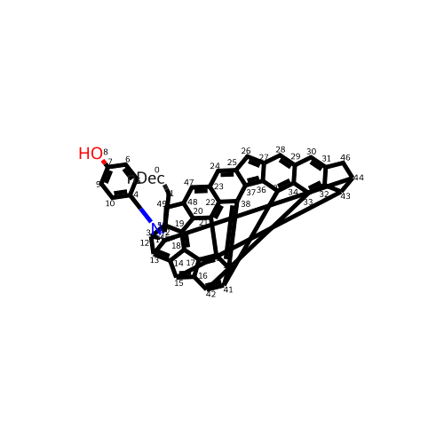 CCCCCCCCCCCC1N(c2ccc(O)cc2)CC2C3=c4c5c6c7c4=C4C8c9c%10c(cc%11cc%12cc%13cc%14c(c%15c%13c%13c%12c%11c%10c(c97)c%13c6%15)C5C(C3)C%14)=CC8CC421